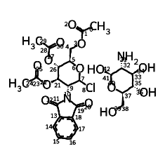 CC(=O)OC[C@H]1OC(Cl)[C@H](N2C(=O)c3ccccc3C2=O)[C@@H](OC(C)=O)[C@@H]1OC(C)=O.N[C@@H]1[C@@H](O)[C@H](O)[C@@H](CO)O[C@H]1O